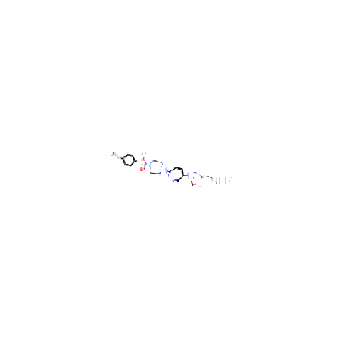 CC(=O)NCC1CN(c2ccc(N3CCN(S(=O)(=O)c4ccc([N+](=O)[O-])cc4)CC3)nc2)CO1